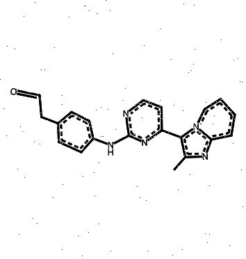 Cc1nc2ccccn2c1-c1ccnc(Nc2ccc(CC=O)cc2)n1